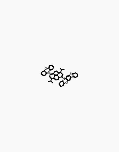 CC(C)c1cc(N2c3ccccc3Oc3ccccc32)c2ccc3c(C(C)C)cc(N4c5ccccc5Oc5cc6c(cc54)sc4ccccc46)c4ccc1c2c34